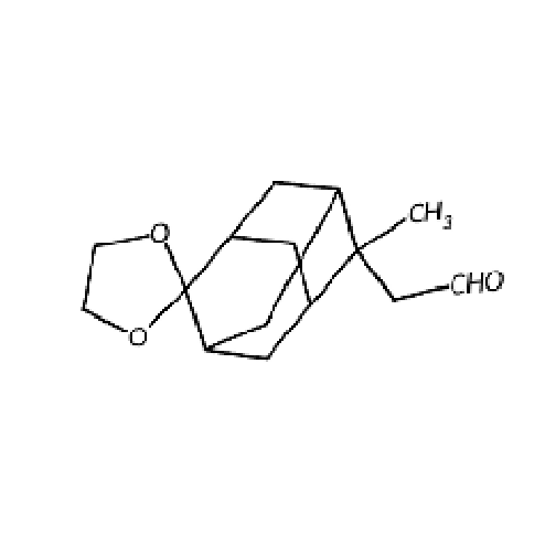 CC1(CC=O)C2CC3CC1CC(C2)C31OCCO1